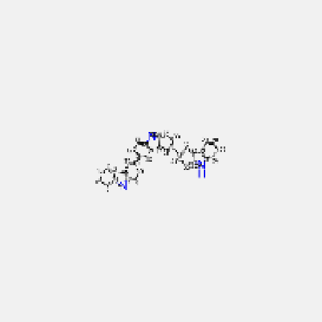 c1ccc2c(c1)N=c1ccc(=c3ccc4c(c3)-c3cc(-c5ccc6[nH]c7ccccc7c6c5)ccc3N=4)cc1-2